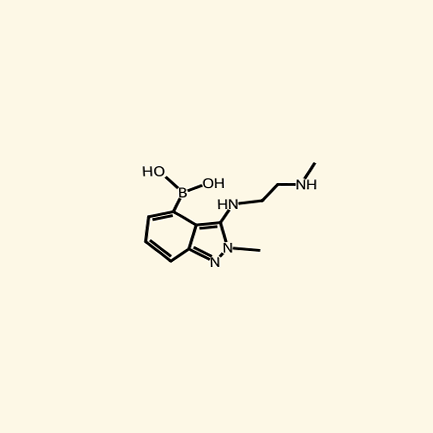 CNCCNc1c2c(B(O)O)cccc2nn1C